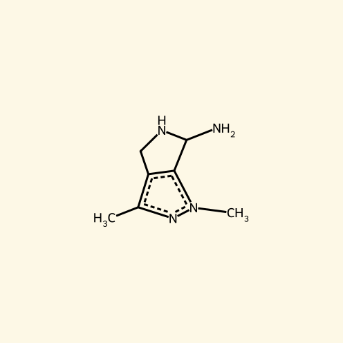 Cc1nn(C)c2c1CNC2N